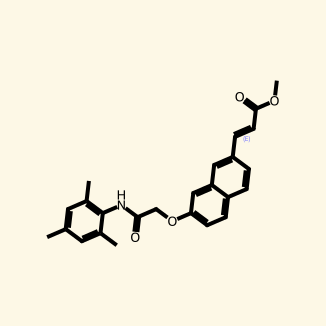 COC(=O)/C=C/c1ccc2ccc(OCC(=O)Nc3c(C)cc(C)cc3C)cc2c1